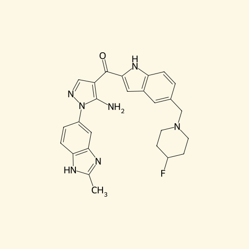 Cc1nc2cc(-n3ncc(C(=O)c4cc5cc(CN6CCC(F)CC6)ccc5[nH]4)c3N)ccc2[nH]1